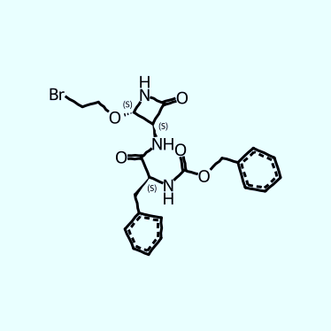 O=C(N[C@@H](Cc1ccccc1)C(=O)N[C@@H]1C(=O)N[C@H]1OCCBr)OCc1ccccc1